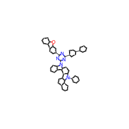 c1ccc(-c2ccc(-c3nc(-c4ccc5c(c4)oc4ccccc45)nc(-n4c5ccccc5c5c6c7ccc8ccccc8c7n(-c7ccccc7)c6ccc54)n3)cc2)cc1